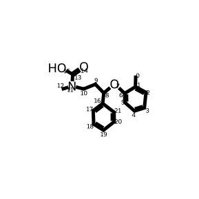 Cc1ccccc1OC(CCN(C)C(=O)O)c1ccccc1